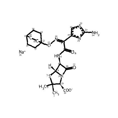 CC1(C)S[C@@H]2[C@@H](NC(=O)/C(=N\OC34CCC(CC3)CC4)c3csc(N)n3)C(=O)N2[C@H]1C(=O)[O-].[Na+]